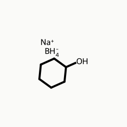 OC1CCCCC1.[BH4-].[Na+]